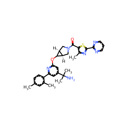 Cc1ccc(-c2cc(C(C)(C)N)cc(OC3[C@H]4CN(C(=O)c5sc(-c6ncccn6)nc5C)C[C@@H]34)n2)c(C)c1